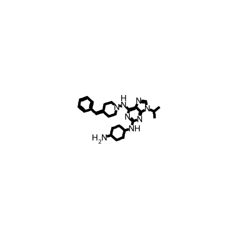 CC(C)n1cnc2c(NN3CCC(=Cc4ccccc4)CC3)nc(NC3CCC(N)CC3)nc21